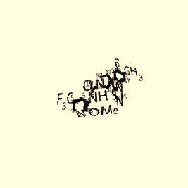 COc1ncc(C(F)(F)F)cc1NC(=O)N1CC[C@](c2ccc(C)c(F)c2)(c2ncns2)C1